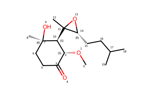 CO[C@@H]1C(=O)CC[C@@](C)(O)[C@H]1C1(C)O[C@@H]1CCC(C)C